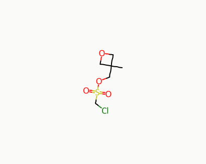 CC1(COS(=O)(=O)CCl)COC1